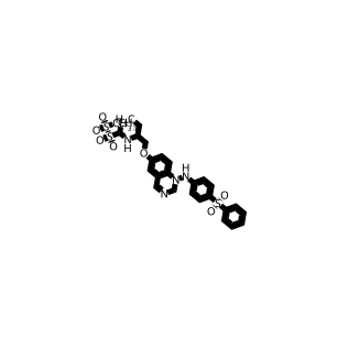 CCC(COc1ccc2c(c1)C=NCN2Nc1ccc(S(=O)(=O)c2ccccc2)cc1)NC(C)S(=O)(=O)S(C)(=O)=O